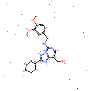 COc1ccc(CNc2ncc(CO)c3nc(C4CCCCC4)nn23)cc1OC